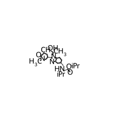 Cc1cc(-c2nc3cc(CNC(C(=O)OC(C)C)C(C)C)ccc3n2C(C)CO)cn(C)c1=O